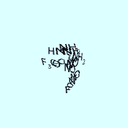 N=C(N)NCCC[C@@H](C(N)=O)n1c(-c2cccc(OC(F)(F)F)c2)nc2cc(C(=O)N3CCN(c4ccc(F)cc4)CC3)ccc21